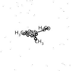 CCCCCCCCC1(CCCCCCCC)c2cc(C)ccc2-c2ccc(-c3ccc(N(c4ccc(C)cc4)c4ccc(CCCCCCOCC5(C)COC5)cc4)cc3)cc21